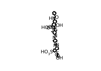 Cc1cc(N=Nc2ccc(-n3nc4ccc5c(SOOO)cc(S(=O)(=O)O)cc5c4n3)cc2)cc(C)c1N=Nc1c(SOOO)cc2cc(NC(=O)c3ccccc3)ccc2c1O